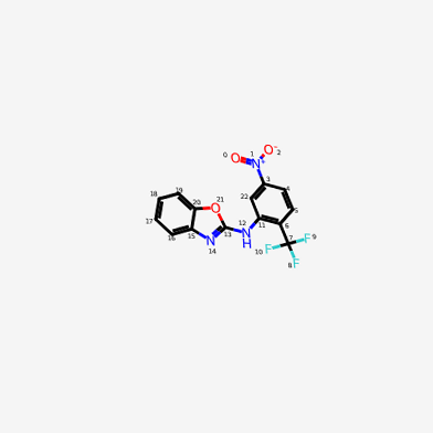 O=[N+]([O-])c1ccc(C(F)(F)F)c(Nc2nc3ccccc3o2)c1